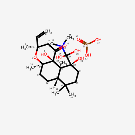 C=C[C@@]1(C)CC(=O)[C@]2(O)[C@]3(C)[C@@H](CC[C@@]2(C)O1)C(C)(C)CC[C@@]3(O)C(O)(O)N(C)C.O=S(O)O